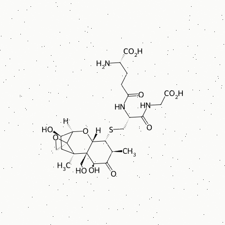 C[C@H]1C(=O)[C@@H](O)[C@@]2(CO)[C@H](O[C@@H]3[C@H](O)C[C@@]2(C)[C@]32CO2)[C@@H]1SC[C@H](NC(=O)CC[C@H](N)C(=O)O)C(=O)NCC(=O)O